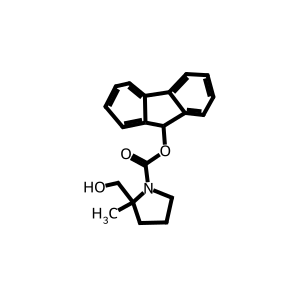 CC1(CO)CCCN1C(=O)OC1c2ccccc2-c2ccccc21